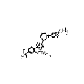 Cn1cc(N2CCCC(c3nc4c5ccc(C(F)(F)F)cc5nc(N)n4n3)C2)cn1